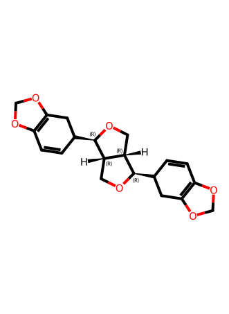 C1=CC([C@H]2OC[C@H]3[C@@H]2CO[C@@H]3C2C=CC3=C(C2)OCO3)CC2=C1OCO2